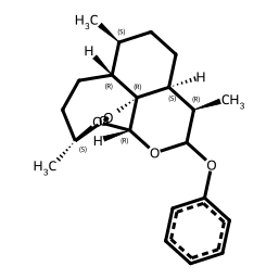 C[C@H]1CC[C@H]2[C@@H](C)C(Oc3ccccc3)O[C@@H]3O[C@]4(C)CC[C@H]1[C@]32OO4